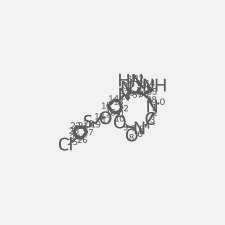 CN1CCCN(C)C(=O)COc2cc(ccc2OCCSc2ccc(Cl)cc2)Nc2ncnc3[nH]cc(c23)C1